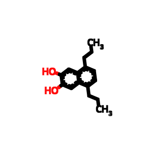 CCCc1ccc(CCC)c2cc(O)c(O)cc12